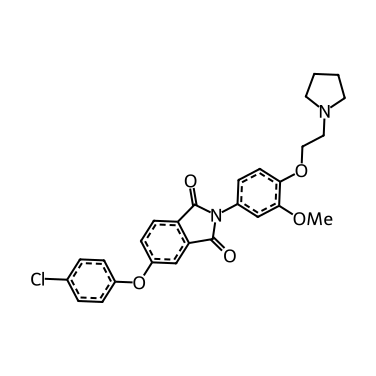 COc1cc(N2C(=O)c3ccc(Oc4ccc(Cl)cc4)cc3C2=O)ccc1OCCN1CCCC1